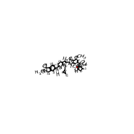 COc1cc(C(=O)N2C[C@H]3CC[C@@H]2[C@@H]3N)cc2nc(-c3cc4ccc(Nc5ccc6c(c5)CN(C)C6=O)nc4n3CC3CC3)n(C)c12